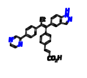 CC/C(=C(/c1ccc(/C=C/C(=O)O)cc1)c1ccc2[nH]ncc2c1)c1ccc(-c2cnccn2)cc1